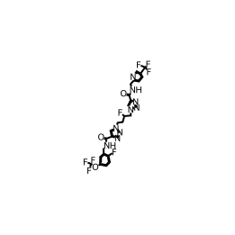 O=C(NCc1cc(OC(F)(F)F)ccc1F)c1cn(CCC(F)Cn2cc(C(=O)NCc3ccc(C(F)(F)F)cn3)nn2)nn1